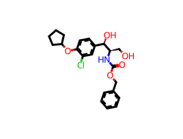 O=C(N[C@H](CO)[C@H](O)c1ccc(OC2CCCC2)c(Cl)c1)OCc1ccccc1